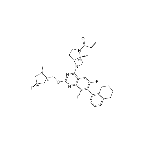 C=CC(=O)N1CCC2[C@H]1CN2c1nc(OC[C@@H]2C[C@@H](F)CN2C)nc2c(F)c(-c3cccc4c3CCCC4)c(F)cc12